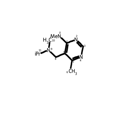 CNc1ncnc(C)c1CN(C)C(C)C